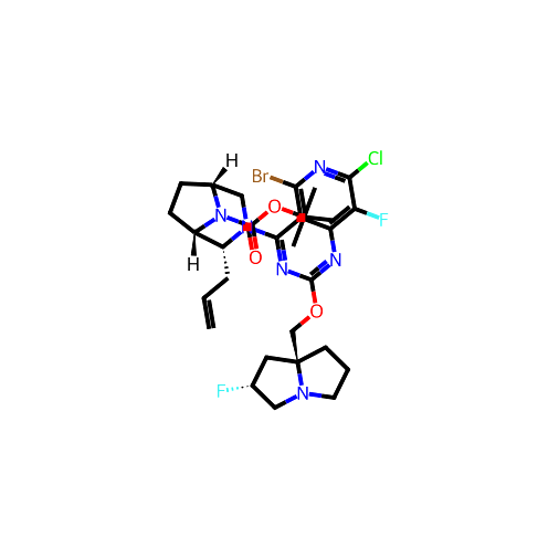 C=CC[C@@H]1[C@@H]2CC[C@H](CN1c1nc(OC[C@@]34CCCN3C[C@H](F)C4)nc3c(F)c(Cl)nc(Br)c13)N2C(=O)OC(C)(C)C